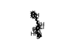 O=S(=O)(Nc1nccs1)c1cc(Cl)c(NCCCCN2CCC3CCC(C2)N3)cc1F